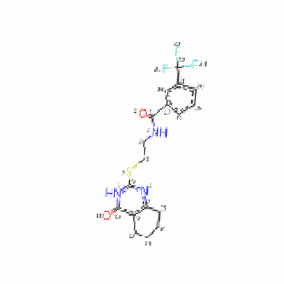 O=C(NCCSc1nc2c(c(=O)[nH]1)CCCC2)c1cccc(C(F)(F)F)c1